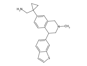 CN1Cc2cc(C3(CN)CC3)ccc2C(c2ccc3ccsc3c2)C1